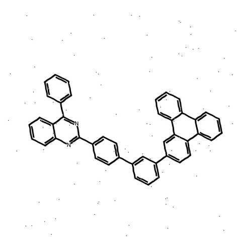 c1ccc(-c2nc(-c3ccc(-c4cccc(-c5ccc6c7ccccc7c7ccccc7c6c5)c4)cc3)nc3ccccc23)cc1